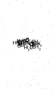 CC1(C)CC(Nc2cccc3c2CN(c2cn[nH]c(=O)c2C(F)(F)F)C3)CC(C)(C)N1